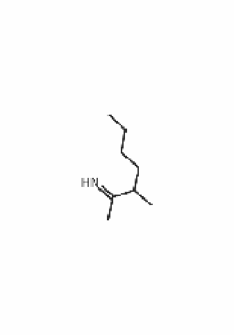 CCCCC(C)C(C)=N